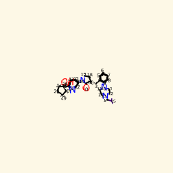 O=C1[C@@H](Cc2ccccc2N2CCN(CI)CC2)CCN1c1ccc(C2(O)CCCC2)nc1